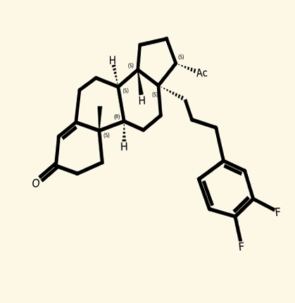 CC(=O)[C@H]1CC[C@H]2[C@@H]3CCC4=CC(=O)CC[C@@]4(C)[C@@H]3CC[C@]12CCCc1ccc(F)c(F)c1